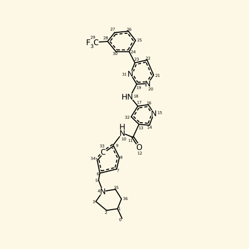 CC1CCN(Cc2ccc(NC(=O)c3cncc(Nc4nccc(-c5cccc(C(F)(F)F)c5)n4)c3)cc2)CC1